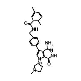 Cc1ccc(C)c(C(=O)NCc2ccc(-c3cn([C@@H]4CCN(C)C4)c4c(=O)[nH]nc(N)c34)cc2)c1